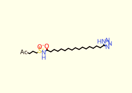 CC(=O)CCC[S+]([O-])NC(=O)CCCCCCCCCCCCCCCc1nnn[nH]1